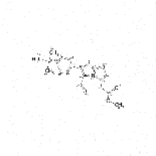 COC(=O)Cc1csc2cc(-c3ccc(C(C)(C)C)cc3)c(C=O)n12